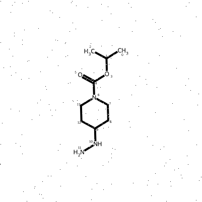 CC(C)OC(=O)N1CCC(NN)CC1